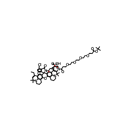 CCC1=CC(C)(C)N2CCCc3c4c(cc1c32)C1(c2cc3c5c(c2O4)CCCN5C(C)(C)C=C3CS(=O)(=O)O)c2c(Cl)ccc(Cl)c2C(=O)N1CCN1CCN(C(=O)CCOCCOCCOCCOCCC(=O)OC(C)(C)C)CC1